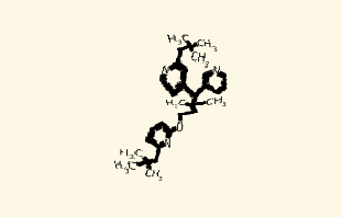 CC(C)(C)Cc1cc(C(c2cccnc2)C(C)(C)CCOc2cccc(CC(C)(C)C)n2)ccn1